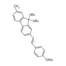 CCCCC1(CCCC)c2cc(C)ccc2-c2ccc(/C=C/c3ccc(OC)cc3)cc21